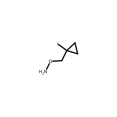 NOCC1(I)CC1